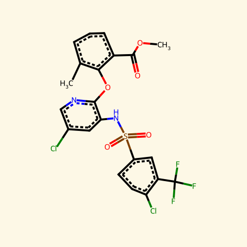 COC(=O)c1cccc(C)c1Oc1ncc(Cl)cc1NS(=O)(=O)c1ccc(Cl)c(C(F)(F)F)c1